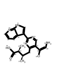 C[C@H](Cc1nc(-c2c[nH]c3ncccc23)ncc1/C(Cl)=C\N)[C@H](C)C(=O)O